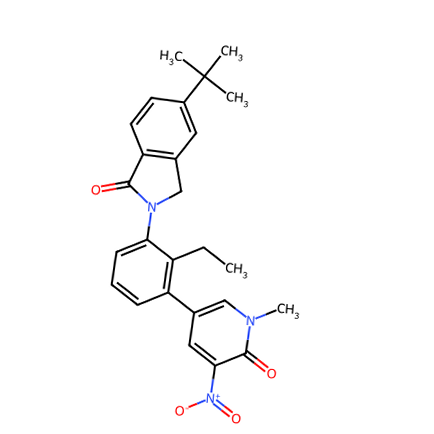 CCc1c(-c2cc([N+](=O)[O-])c(=O)n(C)c2)cccc1N1Cc2cc(C(C)(C)C)ccc2C1=O